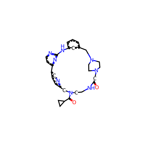 O=C1CN2CCN(CC2)Cc2cccc(c2)Nc2nccc(n2)-c2ccc(nc2)CN(C(=O)C2CC2)CCN1